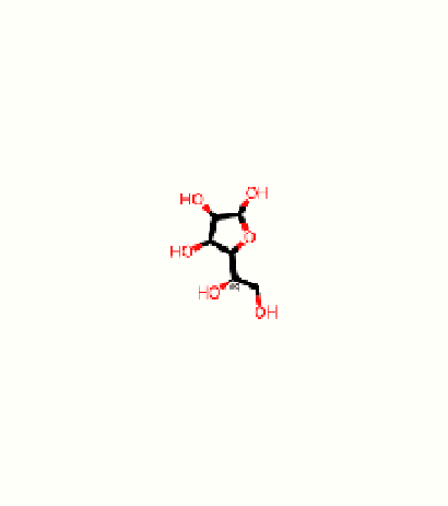 OC[C@@H](O)C1OC(O)C(O)C1O